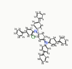 ClC1=C(N(c2ccc(-c3ccccc3)cc2)c2ccc(-c3ccccc3)cc2)CCC(N(c2ccc(-c3ccccc3)cc2)c2ccc(-c3ccccc3)cc2)=C1